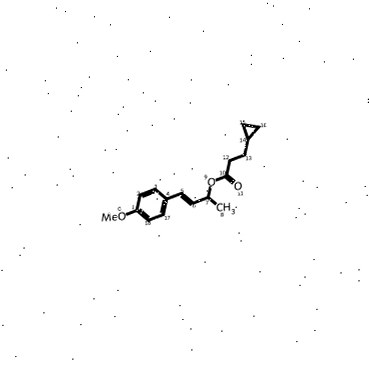 COc1ccc(C=CC(C)OC(=O)CCC2CC2)cc1